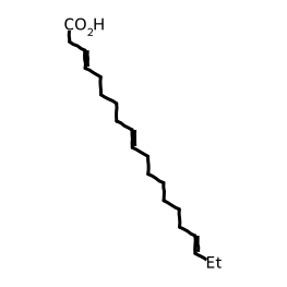 CCC=CCCCCCCC=CCCCCC=CCC(=O)O